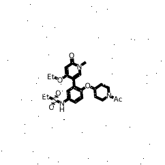 CCOc1cc(=O)n(C)cc1-c1cc(NS(=O)(=O)CC)ccc1OC1CCN(C(C)=O)CC1